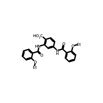 CCOc1ccccc1C(=O)Nc1ccc(C(=O)O)c(NC(=O)c2ccccc2OCC)c1